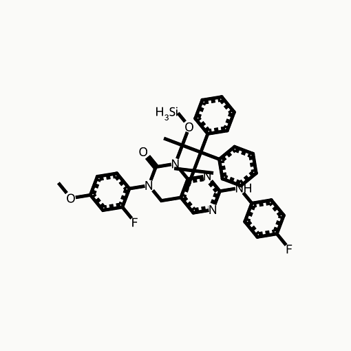 COc1ccc(N2Cc3cnc(Nc4ccc(F)cc4)nc3N(C(C)(O[SiH3])C(c3ccccc3)(c3ccccc3)C(C)(C)C)C2=O)c(F)c1